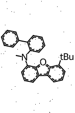 CN(c1ccccc1-c1ccccc1)c1cccc2c1oc1c(C(C)(C)C)cccc12